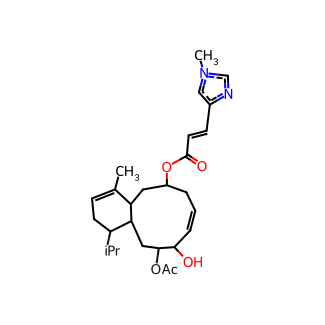 CC(=O)OC1CC2C(CC(OC(=O)C=Cc3cn(C)cn3)CC=CC1O)C(C)=CCC2C(C)C